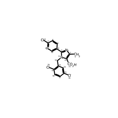 Cc1nc(-c2ccc(Cl)nc2)n(Cc2cc(Cl)ccc2Cl)c1C(=O)O